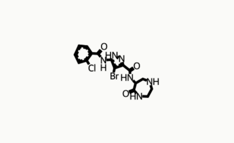 O=C(Nc1[nH]nc(C(=O)NC2CNCCNC2=O)c1Br)c1ccccc1Cl